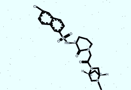 CN1C[C@H]2C[C@@H]1CN2C(=O)CN1CCC[C@H](NS(=O)(=O)c2ccc3cc(Cl)ccc3c2)C1=O